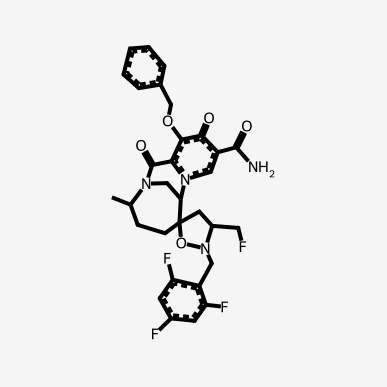 CC1CCC2(CC(CF)N(Cc3c(F)cc(F)cc3F)O2)C2CN1C(=O)c1c(OCc3ccccc3)c(=O)c(C(N)=O)cn12